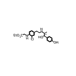 CCOC(=O)CNc1ccc(CCN[C@@H](C)[C@@H](O)c2ccc(O)cc2)cc1Cl